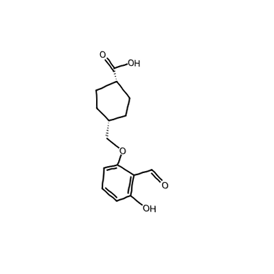 O=Cc1c(O)cccc1OC[C@H]1CC[C@@H](C(=O)O)CC1